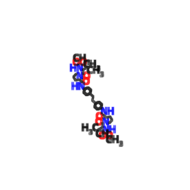 COC(=O)NC(C(=O)N1CCCC1C(=O)Nc1ccc(CCc2ccc(NC(=O)C3CCCN3C(=O)C(NC(=O)OC)C(C)C)cc2)cc1)C(C)C